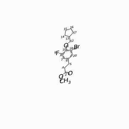 COC(=O)CCc1cc(F)c(OCC2CCCC2)c(Br)c1